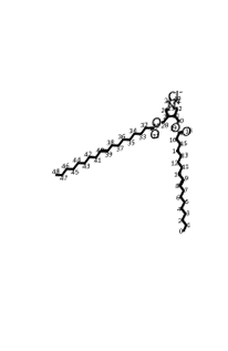 CCCCCCCCC=CCCCCCCCC(=O)OCC1C[N+](C)(C)CC1COC(=O)CCCCCCCC=CCCCCCCCC.[Cl-]